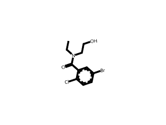 CCN(CCO)C(=O)c1cc(Br)ccc1Cl